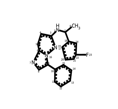 CC(Nc1ccc2ncc(-c3ccccc3)n2n1)c1cccc(F)c1